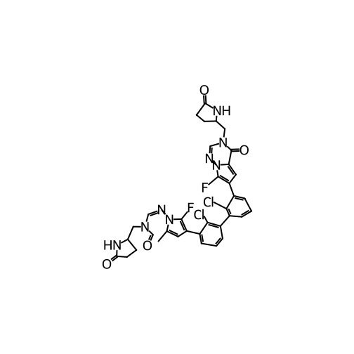 Cc1cc(-c2cccc(-c3cccc(-c4cc5c(=O)n(CC6CCC(=O)N6)cnn5c4F)c3Cl)c2Cl)c(F)n1/N=C\N(C=O)CC1CCC(=O)N1